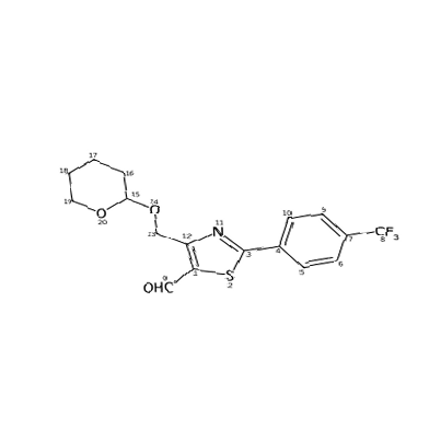 O=Cc1sc(-c2ccc(C(F)(F)F)cc2)nc1COC1CCCCO1